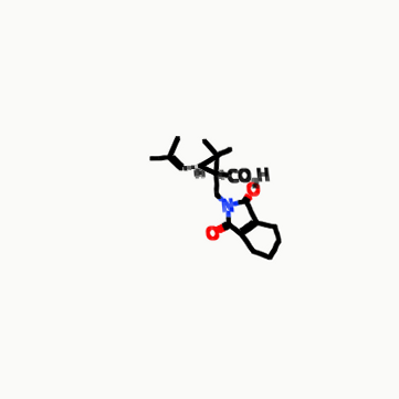 CC(C)=C[C@@H]1C(C)(C)[C@@]1(CN1C(=O)C2=C(CCCC2)C1=O)C(=O)O